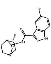 O=C(N[C@H]1CN2CCC1CC2)c1n[nH]c2ccc(Br)cc12